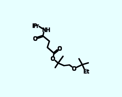 CCC(C)(C)OCCC(C)(C)OC(=O)CCC(=O)NC(C)C